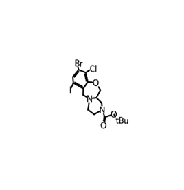 CC(C)(C)OC(=O)N1CCN2Cc3c(I)cc(Br)c(Cl)c3OCC2C1